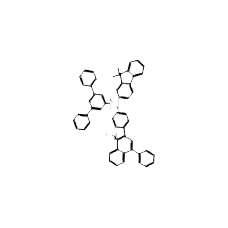 CC1(C)c2ccccc2-c2ccc(N(c3cc(-c4ccccc4)cc(-c4ccccc4)c3)c3ccc4c(c3)oc3c5ccccc5c(-c5ccccc5)cc43)cc21